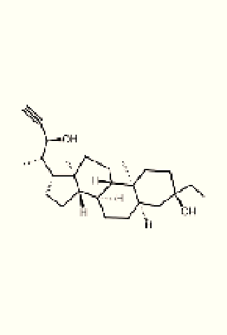 C#C[C@@H](O)[C@@H](C)[C@H]1CC[C@H]2[C@@H]3CC[C@@H]4C[C@@](O)(CC)CC[C@]4(C)[C@H]3CC[C@]12C